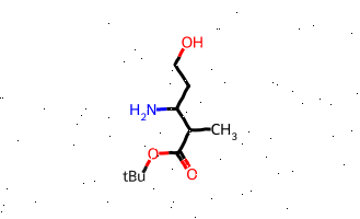 CC(C(=O)OC(C)(C)C)C(N)CCO